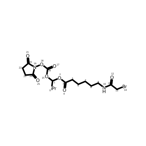 CC(C)C(OC(=O)CCCCCNC(=O)CBr)OC(=O)ON1C(=O)CCC1=O